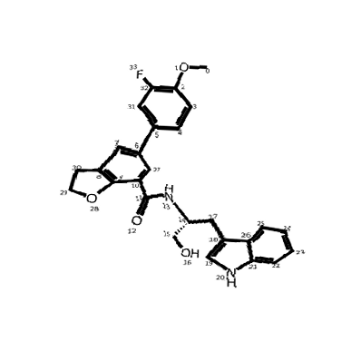 COc1ccc(-c2cc3c(c(C(=O)N[C@@H](CO)Cc4c[nH]c5ccccc45)c2)OCC3)cc1F